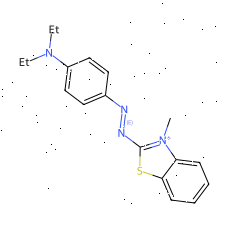 [CH2]CN(CC)c1ccc(/N=N/c2sc3ccccc3[n+]2C)cc1